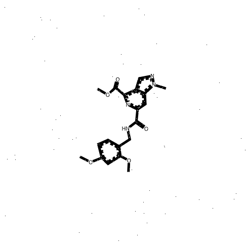 COC(=O)c1nc(C(=O)NCc2ccc(OC)cc2OC)cc2c1cnn2C